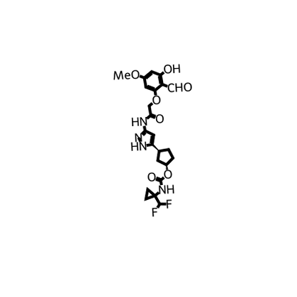 COc1cc(O)c(C=O)c(OCC(=O)Nc2cc([C@H]3CC[C@@H](OC(=O)NC4(C(F)F)CC4)C3)[nH]n2)c1